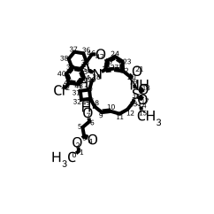 CCOC(=O)CCO[C@H]1/C=C/CC[C@@H](CC)S(=O)(=O)NC(=O)c2ccc3c(c2)N(C[C@@H]2CC[C@H]21)C[C@@]1(CCCc2cc(Cl)ccc21)CO3